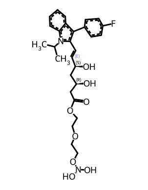 CC(C)n1c(/C=C/[C@@H](O)C[C@@H](O)CC(=O)OCCOCCON(O)O)c(-c2ccc(F)cc2)c2ccccc21